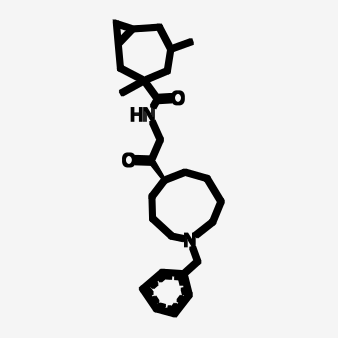 CC1CC2CC2CC(C)(C(=O)NCC(=O)[C@H]2CCCCN(Cc3ccccc3)CCC2)C1